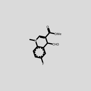 COC(=O)C1=CN(C)c2ccc(F)cc2C1C=O